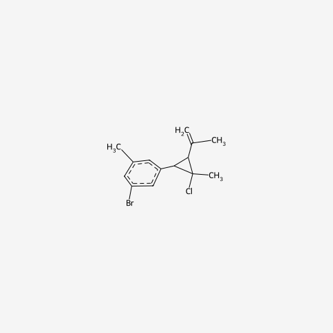 C=C(C)C1C(c2cc(C)cc(Br)c2)C1(C)Cl